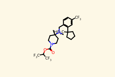 CN(Cc1ccc(C(F)(F)F)cc1C1(C(=O)O)CCCC1)C1(C)CCN(C(=O)OC(C(F)(F)F)C(F)(F)F)CC1